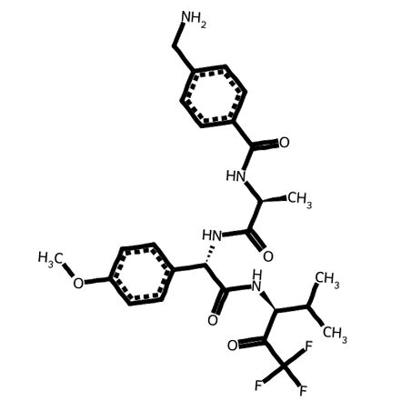 COc1ccc([C@H](NC(=O)[C@H](C)NC(=O)c2ccc(CN)cc2)C(=O)N[C@H](C(=O)C(F)(F)F)C(C)C)cc1